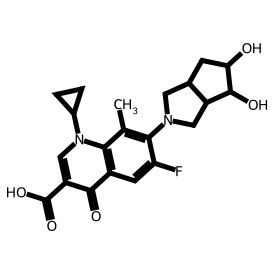 Cc1c(N2CC3CC(O)C(O)C3C2)c(F)cc2c(=O)c(C(=O)O)cn(C3CC3)c12